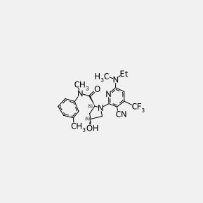 CCN(C)c1cc(C(F)(F)F)c(C#N)c(N2C[C@@H](O)C[C@H]2C(=O)N(C)c2cccc(C)c2)n1